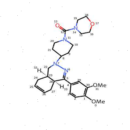 COc1ccc(C2=NN(C3CCN(C(=O)N4CCOCC4)CC3)C[C@@H]3CC=CC[C@H]23)cc1OC